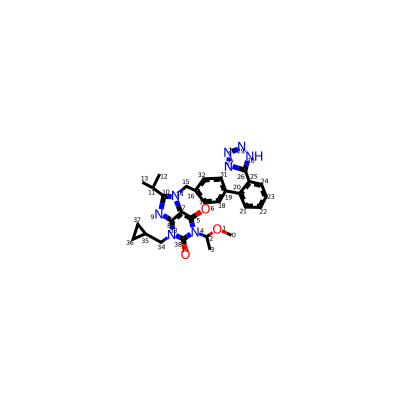 COC(C)n1c(=O)c2c(nc(C(C)C)n2Cc2ccc(-c3ccccc3-c3nnn[nH]3)cc2)n(CC2CC2)c1=O